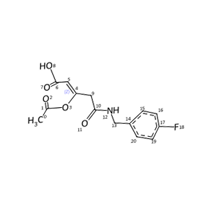 CC(=O)O/C(=C\C(=O)O)CC(=O)NCc1ccc(F)cc1